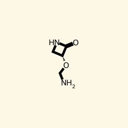 NCO[C@@H]1CNC1=O